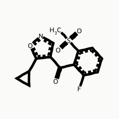 CS(=O)(=O)c1cccc(F)c1C(=O)c1cnoc1C1CC1